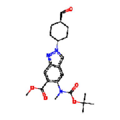 COC(=O)c1cc2nn([C@H]3CC[C@H](C=O)CC3)cc2cc1N(C)C(=O)OC(C)(C)C